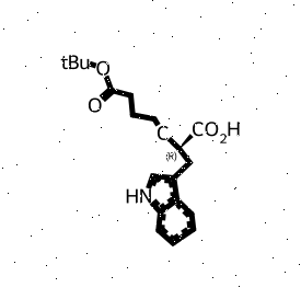 CC(C)(C)OC(=O)CCCC[C@H](Cc1c[nH]c2ccccc12)C(=O)O